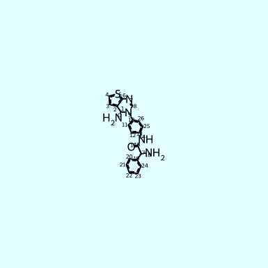 NC1c2ccsc2N=CN1c1ccc(NC(=O)[C@@H](N)c2ccccc2)cc1